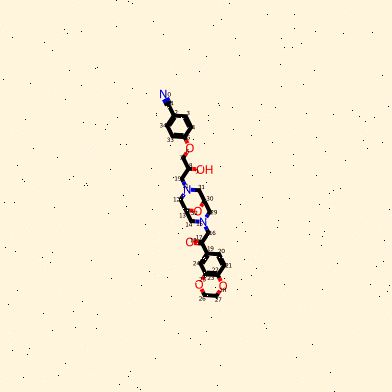 N#Cc1ccc(OCC(O)CN2CC3CN(CC(=O)c4ccc5c(c4)OCCO5)CC(C2)O3)cc1